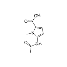 CC(=O)Nc1ccc(C(=O)O)n1C